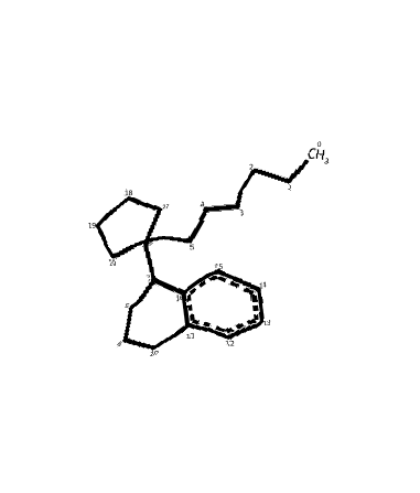 CCCCCCC1(C2CCCc3ccccc32)CCCC1